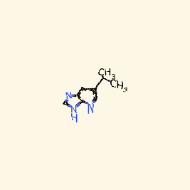 CC(C)c1cnc2[nH]cnc2c1